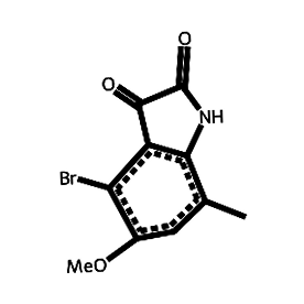 COc1cc(C)c2c(c1Br)C(=O)C(=O)N2